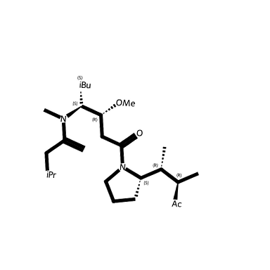 C=C(CC(C)C)N(C)[C@@H]([C@@H](C)CC)[C@@H](CC(=O)N1CCC[C@H]1[C@H](C)[C@@H](C)C(C)=O)OC